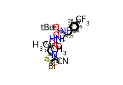 CC(C)(C)OC(=O)N[C@H](CNC(=O)OC(C)(C)Cc1nc(C#N)c(Br)s1)Cc1ccc(C(F)(F)F)cc1